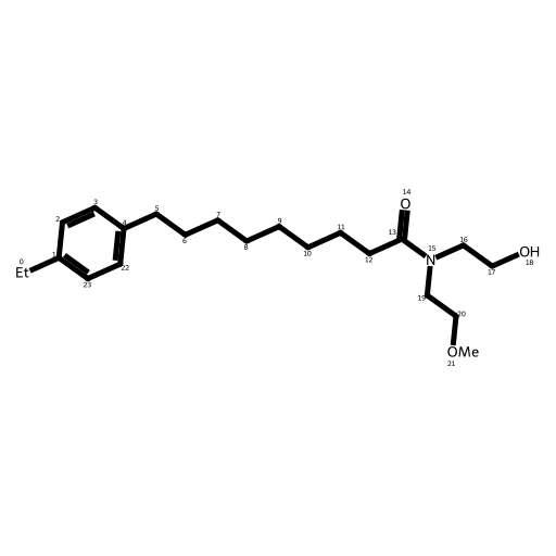 CCc1ccc(CCCCCCCCC(=O)N(CCO)CCOC)cc1